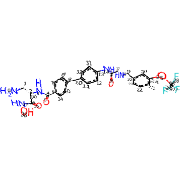 NC[C@H](NC(=O)c1ccc(-c2ccc(NC(=O)CNCc3cccc(OC(F)(F)F)c3)cc2)cc1)C(=O)NO